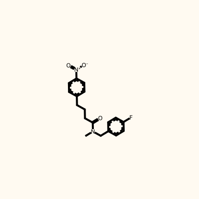 CN(Cc1ccc(F)cc1)C(=O)CCCc1ccc([N+](=O)[O-])cc1